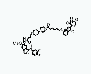 COc1cc2ncnc(Nc3ccc(F)c(Cl)c3)c2cc1NC(=O)/C=C/CN1CCC(N2CCN(C(=O)CCCCCNc3cccc4c3CN(C3CCC(=O)NC3=O)C4=O)CC2)CC1